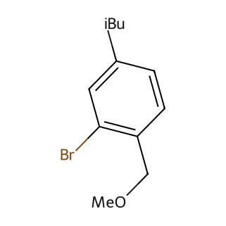 CCC(C)c1ccc(COC)c(Br)c1